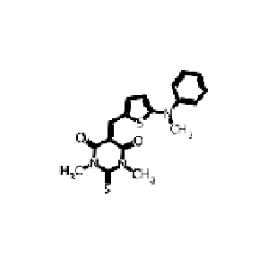 CN1C(=O)C(=Cc2ccc(N(C)c3ccccc3)s2)C(=O)N(C)C1=S